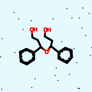 OCCC(OC(CCO)c1ccccc1)c1ccccc1